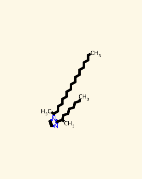 CCCCCCCCCCCCCCCCCC(C)n1ccnc1C(C)CCCCCCC